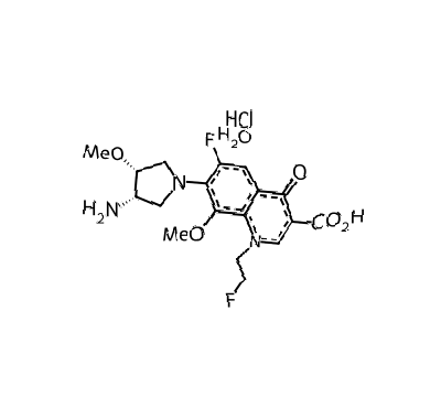 COc1c(N2C[C@H](N)[C@H](OC)C2)c(F)cc2c(=O)c(C(=O)O)cn(CCF)c12.Cl.O